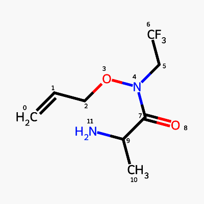 C=CCON(CC(F)(F)F)C(=O)C(C)N